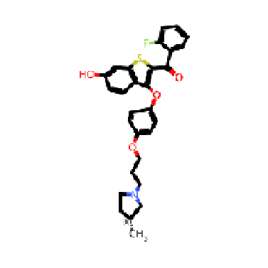 C[C@@H]1CCN(CCCOc2ccc(Oc3c(C(=O)c4ccccc4F)sc4cc(O)ccc34)cc2)C1